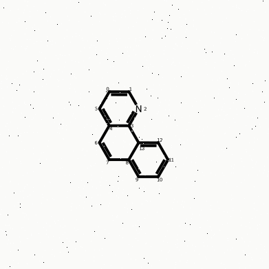 [c]1cnc2c(c1)ccc1ccccc12